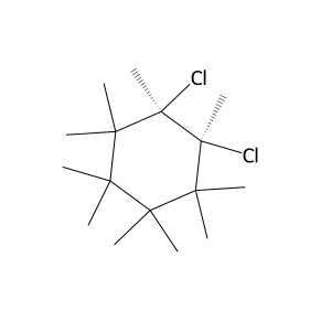 CC1(C)C(C)(C)C(C)(C)[C@@](C)(Cl)[C@@](C)(Cl)C1(C)C